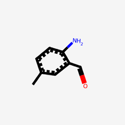 Cc1ccc(N)c(C=O)c1